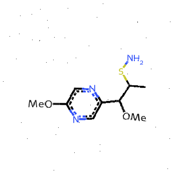 COc1cnc(C(OC)C(C)SN)cn1